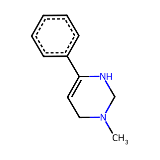 CN1CC=C(c2ccccc2)NC1